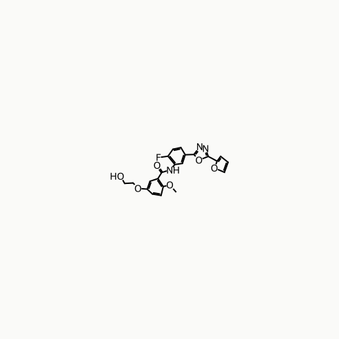 COc1ccc(OCCO)cc1C(=O)Nc1cc(-c2nnc(-c3ccco3)o2)ccc1F